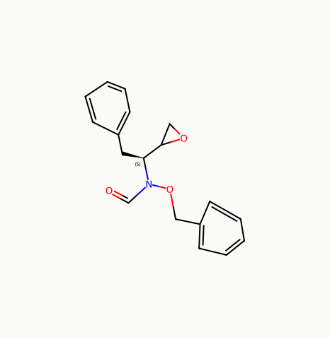 O=CN(OCc1ccccc1)[C@@H](Cc1ccccc1)C1CO1